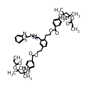 C=CC(=O)OC(C)(C)CC(C)(C)Oc1ccc(C(=O)OCCc2ccc(CCOC(=O)c3ccc(OC(C)(C)CC(C)(C)OC(=O)C=C)cc3)c(/C=N/Nc3nc4ccccc4s3)c2)cc1